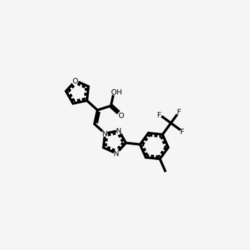 Cc1cc(-c2ncn(C=C(C(=O)O)c3ccoc3)n2)cc(C(F)(F)F)c1